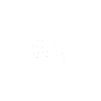 CCc1c(CNC(=O)[C@@H](N)C(C)C)cccc1Nc1c(C(N)=O)cnc2cc(OC)c(OC)cc12